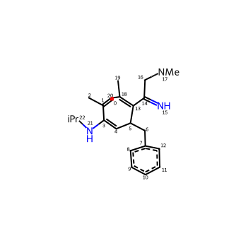 C=C(C)/C(=C\C(Cc1ccccc1)C(C(=N)CNC)=C(C)C)NC(C)C